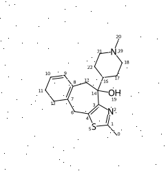 Cc1nc2c(s1)CC1=C(C=CCC1)CC2(O)C1CCN(C)CC1